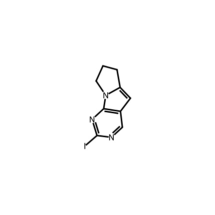 Ic1ncc2cc3n(c2n1)CCC3